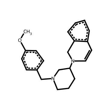 COc1ccc(CN2CCCC(N3C=Cc4ccccc4C3)C2)cc1